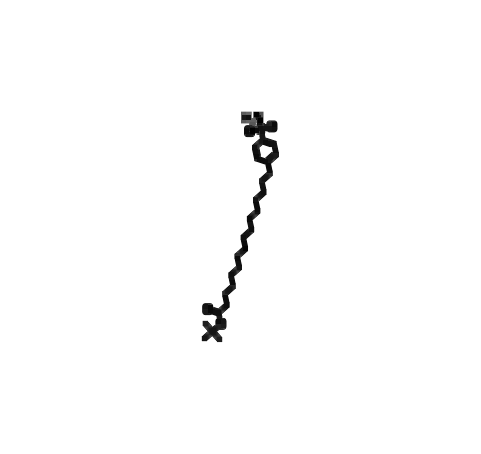 CC(C)(C)OC(=O)CCCCCCCCCCCCCCCc1ccc(S(N)(=O)=O)cc1